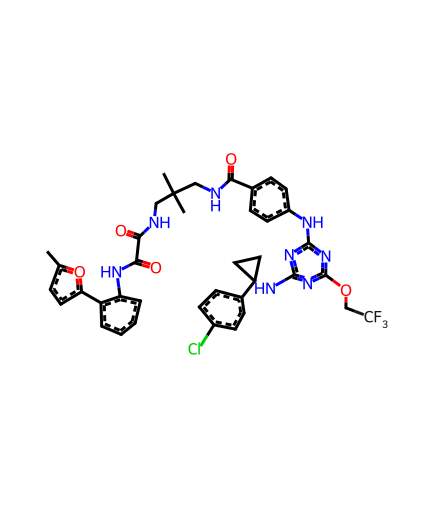 Cc1ccc(-c2ccccc2NC(=O)C(=O)NCC(C)(C)CNC(=O)c2ccc(Nc3nc(NC4(c5ccc(Cl)cc5)CC4)nc(OCC(F)(F)F)n3)cc2)o1